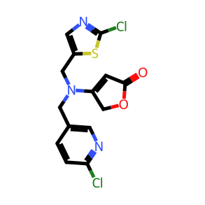 O=C1C=C(N(Cc2ccc(Cl)nc2)Cc2cnc(Cl)s2)CO1